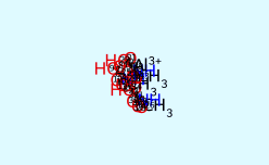 CC(=O)N[C@@H](CCC(=O)O)C(=O)[O-].CC(=O)N[C@@H](CCC(=O)O)C(=O)[O-].CC(=O)N[C@@H](CCC(=O)O)C(=O)[O-].[Al+3]